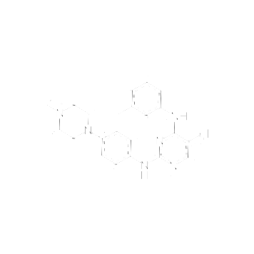 Cc1cccc(Nc2nc(Nc3ccc(N4CCN(C)CC4)cc3)ncc2Cl)c1